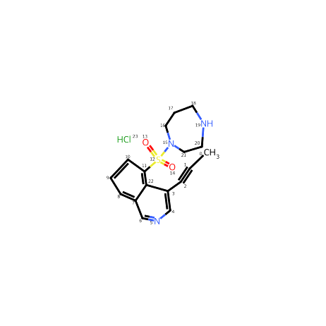 CC#Cc1cncc2cccc(S(=O)(=O)N3CCCNCC3)c12.Cl